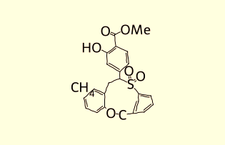 C.COC(=O)c1ccc(C2Cc3ccccc3OCc3cccc(c3)S2(=O)=O)cc1O